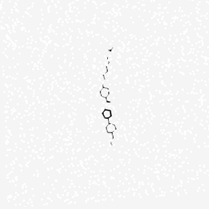 CCCC1CCC(c2ccc(OC(=O)C3CCC(OCCCCCCOC(C)=O)CC3)cc2)CC1